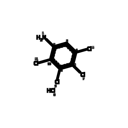 Cl.Nc1cc(Cl)c(Cl)c(Cl)c1Cl